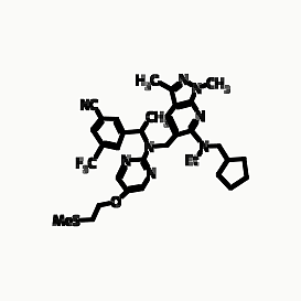 CCN(CC1CCCC1)c1nc2c(cc1CN(c1ncc(OCCSC)cn1)C(C)c1cc(C#N)cc(C(F)(F)F)c1)c(C)nn2C